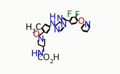 Cc1cc(Nc2nccn3c(-c4ccc(Oc5ccccn5)c(F)c4F)cnc23)ccc1C(=O)N1CCC(CNC(=O)O)CC1